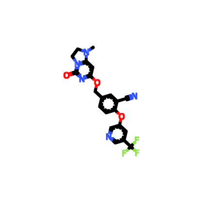 CN1CCn2c1cc(OCc1ccc(Oc3cncc(C(F)(F)F)c3)c(C#N)c1)nc2=O